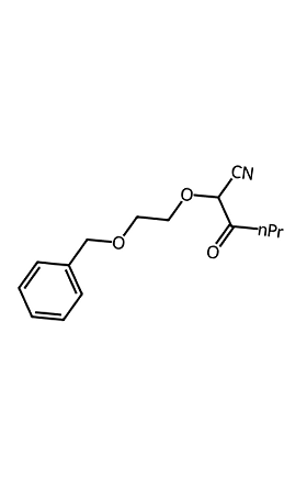 CCCC(=O)C(C#N)OCCOCc1ccccc1